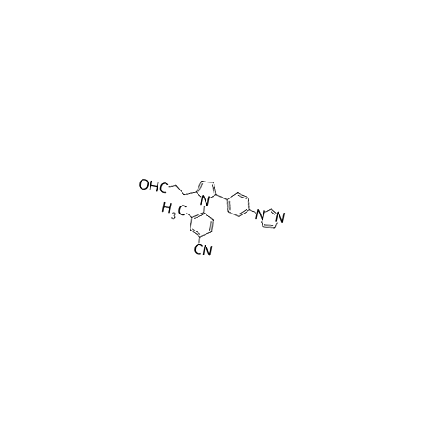 Cc1cc(C#N)ccc1-n1c(CCC=O)ccc1-c1ccc(-n2ccnc2)cc1